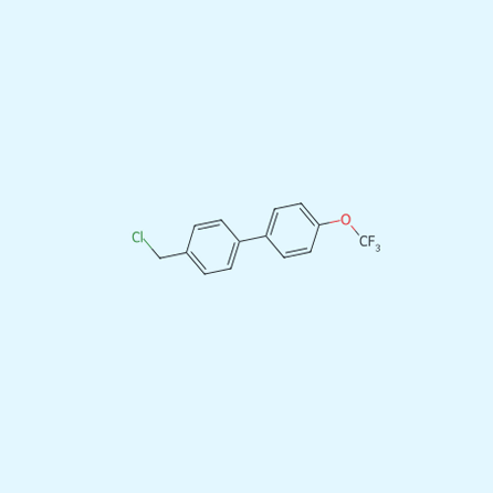 FC(F)(F)Oc1ccc(-c2ccc(CCl)cc2)cc1